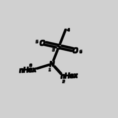 CCCCCCN(CCCCCC)S(C)(=O)=O